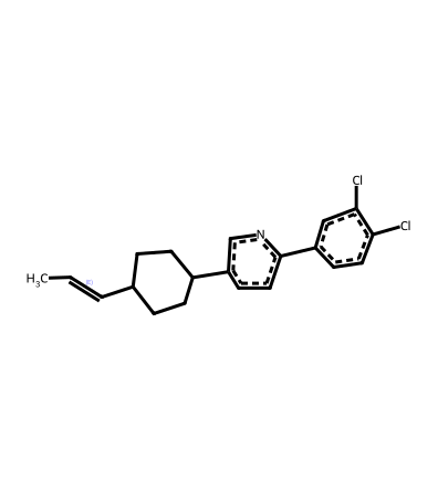 C/C=C/C1CCC(c2ccc(-c3ccc(Cl)c(Cl)c3)nc2)CC1